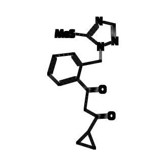 CSc1ncnn1Cc1ccccc1C(=O)CC(=O)C1CC1